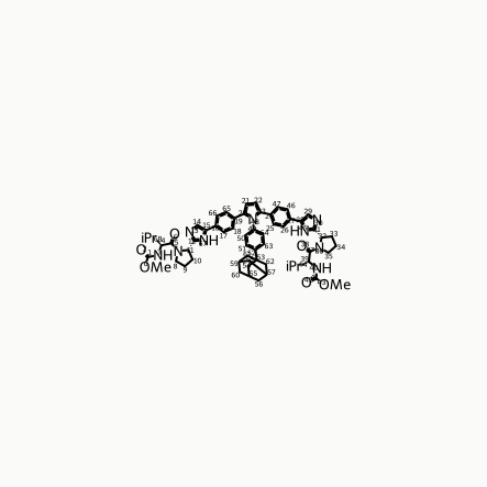 COC(=O)N[C@H](C(=O)N1CCC[C@H]1c1ncc(-c2ccc(-c3ccc(-c4ccc(-c5cnc([C@@H]6CCCN6C(=O)[C@@H](NC(=O)OC)C(C)C)[nH]5)cc4)n3-c3ccc(C45CC6CC(CC(C6)C4)C5)cc3)cc2)[nH]1)C(C)C